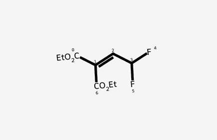 CCOC(=O)C(=CC(F)F)C(=O)OCC